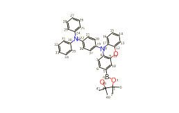 CC1(C)OB(c2ccc3c(c2)Oc2ccccc2N3c2ccc(N(c3ccccc3)c3ccccc3)cc2)OC1(C)C